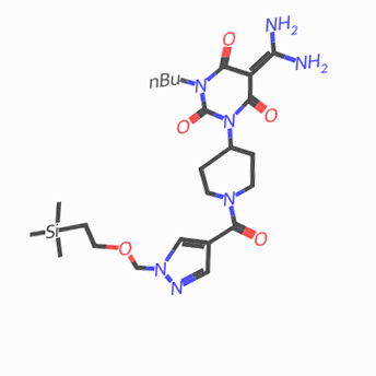 CCCCN1C(=O)C(=C(N)N)C(=O)N(C2CCN(C(=O)c3cnn(COCC[Si](C)(C)C)c3)CC2)C1=O